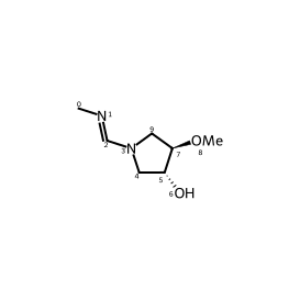 C/N=C/N1C[C@@H](O)[C@H](OC)C1